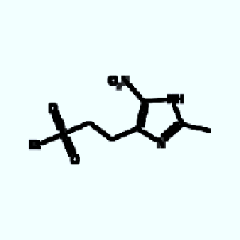 CCS(=O)(=O)CCc1nc(C)[nH]c1[N+](=O)[O-]